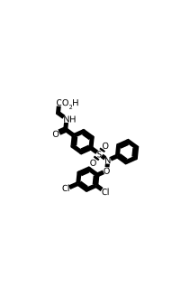 O=C(O)CNC(=O)c1ccc(S(=O)(=O)N(Oc2ccc(Cl)cc2Cl)c2ccccc2)cc1